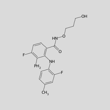 Cc1ccc(Nc2c(C(=O)NOCCCO)ccc(F)c2P)c(F)c1